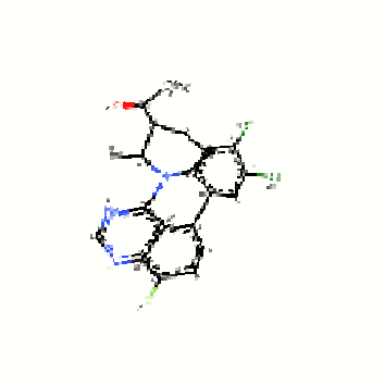 COC(=O)C1CCCN(c2ncnc3c(F)ccc(-c4ccc(Cl)c(Cl)c4)c23)C1C